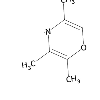 CC1=COC(C)=C(C)[N]1